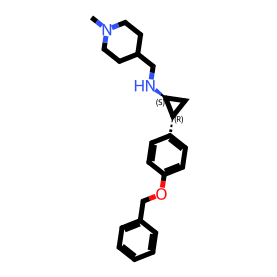 CN1CCC(CN[C@H]2C[C@@H]2c2ccc(OCc3ccccc3)cc2)CC1